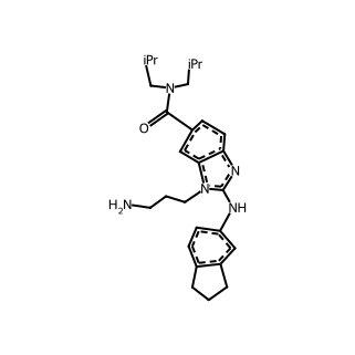 CC(C)CN(CC(C)C)C(=O)c1ccc2nc(Nc3ccc4c(c3)CCC4)n(CCCN)c2c1